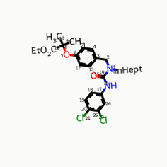 CCCCCCCN(Cc1ccc(OC(C)(C)C(=O)OCC)cc1)C(=O)Nc1ccc(Cl)c(Cl)c1